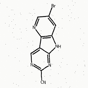 N#Cc1ncc2c(n1)[nH]c1cc(Br)cnc12